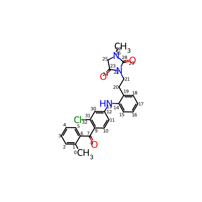 Cc1ccccc1C(=O)c1ccc(Nc2ccccc2CCN2C(=O)CN(C)C2=O)cc1Cl